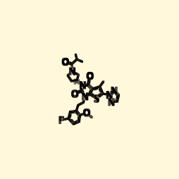 COc1ccc(F)cc1CCn1c(=O)n([C@@H]2CCN(C(=O)C(C)C)C2)c(=O)c2c(C)c(-n3nccn3)sc21